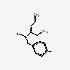 C=C/C=C(\CC)N(C)Cc1ccc(Cl)cc1